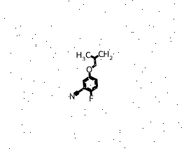 [CH2]C(C)COc1ccc(F)c(C#N)c1